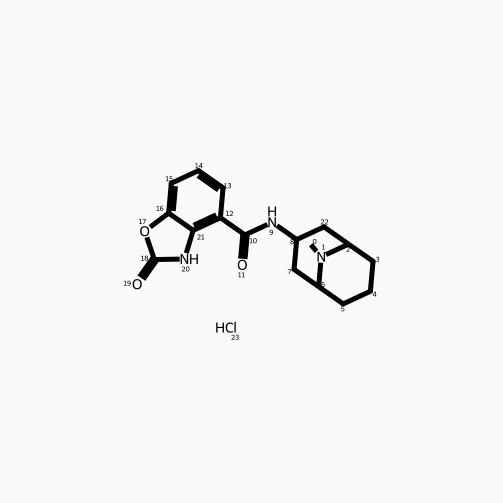 CN1C2CCCC1CC(NC(=O)c1cccc3oc(=O)[nH]c13)C2.Cl